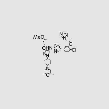 COC(C)CCOc1nn(C2CCC(N3C[C@@H](C)O[C@@H](C)C3)CC2)cc1Nc1ncc(-c2ccc(Cl)c(O[C@@H](C)Cn3cncn3)c2)cn1